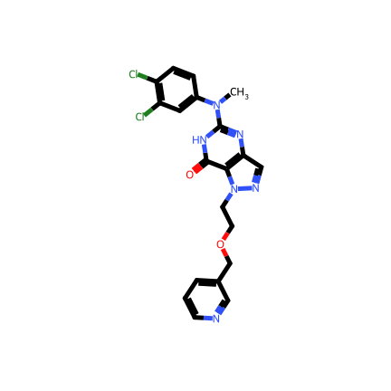 CN(c1ccc(Cl)c(Cl)c1)c1nc2cnn(CCOCc3cccnc3)c2c(=O)[nH]1